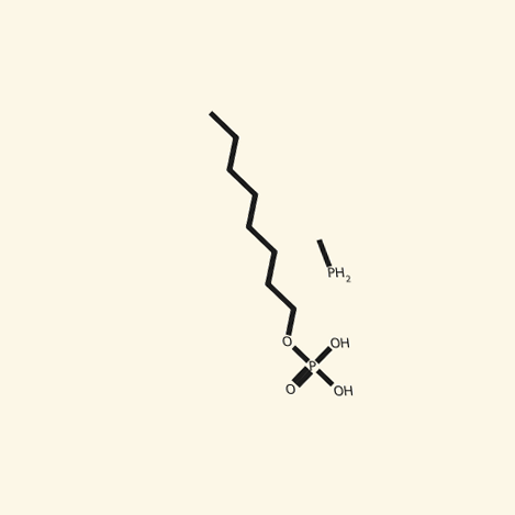 CCCCCCCCOP(=O)(O)O.CP